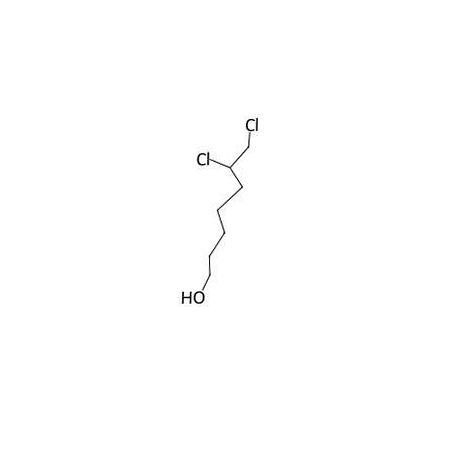 OCCCCCC(Cl)CCl